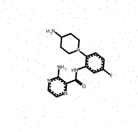 Nc1nccnc1C(=O)Nc1cc(F)ccc1N1CCC(N)CC1